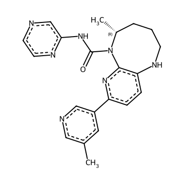 Cc1cncc(-c2ccc3c(n2)N(C(=O)Nc2cnccn2)[C@H](C)CCCN3)c1